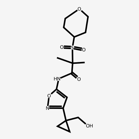 CC(C)(C(=O)Nc1cc(C2(CO)CC2)no1)S(=O)(=O)C1CCOCC1